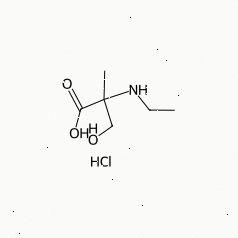 CCNC(C)(CO)C(=O)O.Cl